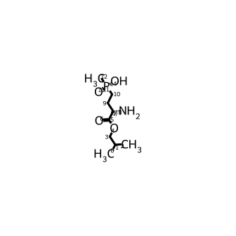 CC(C)COC(=O)[C@@H](N)CCP(C)(=O)O